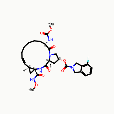 CC(C)(C)ONC(=O)[C@@]12C[C@H]1C=CCCCCC[C@H](NC(=O)OC(C)(C)C)C(=O)N1C[C@H](OC(=O)N3Cc4cccc(F)c4C3)C[C@H]1C(=O)N2